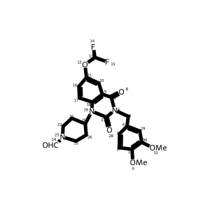 COc1ccc(Cn2c(=O)c3cc(OC(F)F)ccc3n(C3CCN(C=O)CC3)c2=O)cc1OC